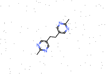 Cc1ncc(CCc2cnc(C)nc2)cn1